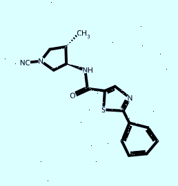 C[C@H]1CN(C#N)C[C@@H]1NC(=O)c1cnc(-c2ccccc2)s1